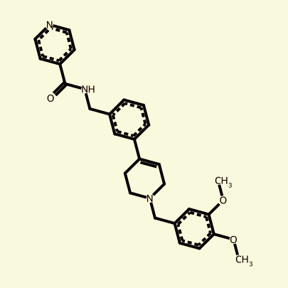 COc1ccc(CN2CC=C(c3cccc(CNC(=O)c4ccncc4)c3)CC2)cc1OC